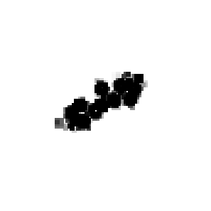 CC1(C)c2ccccc2-c2c(N(c3ccccc3)c3ccc4cc5c6ccc(N(c7ccccc7)c7cccc8c7-c7ccccc7C8(C)C)cc6n(-c6ccccc6)c5cc4c3)cccc21